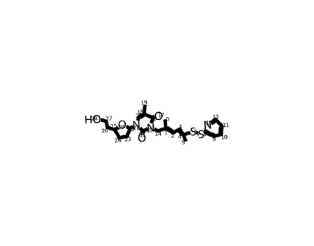 C/C(=C\C=C(/C)SSc1ccccn1)Cn1c(=O)c(C)cn(C2CCC(CCO)O2)c1=O